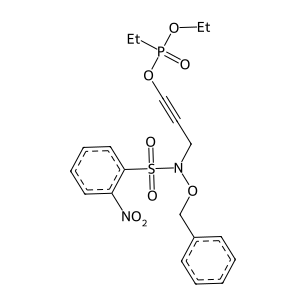 CCOP(=O)(CC)OC#CCN(OCc1ccccc1)S(=O)(=O)c1ccccc1[N+](=O)[O-]